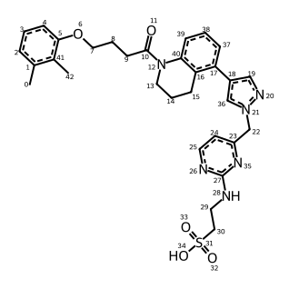 Cc1cccc(OCCCC(=O)N2CCCc3c(-c4cnn(Cc5ccnc(NCCS(=O)(=O)O)n5)c4)cccc32)c1C